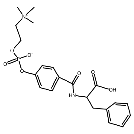 C[N+](C)(C)CCOP(=O)([O-])Oc1ccc(C(=O)NC(Cc2ccccc2)C(=O)O)cc1